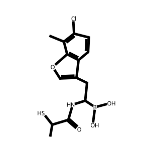 Cc1c(Cl)ccc2c(CC(NC(=O)C(C)S)B(O)O)coc12